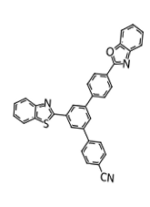 N#Cc1ccc(-c2cc(-c3ccc(-c4nc5ccccc5o4)cc3)cc(-c3nc4ccccc4s3)c2)cc1